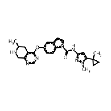 CC1Cc2c(ncnc2Oc2ccc3c(ccn3C(=O)Nc3cc(C4(C)CC4)n(C)n3)c2)CN1